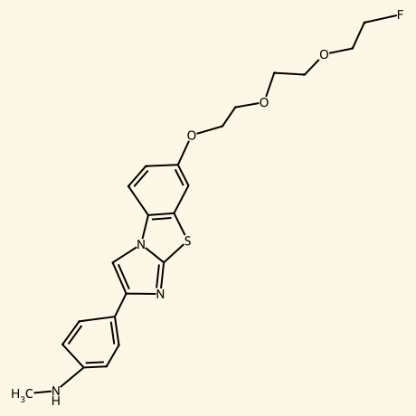 CNc1ccc(-c2cn3c(n2)sc2cc(OCCOCCOCCF)ccc23)cc1